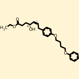 CCOC(=O)CC[C@@H](O)/C=C\Cc1ccc(OCCCCOc2ccccc2)cc1